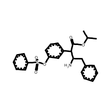 CC(C)OC(=O)C(c1cccc(OS(=O)(=O)c2ccccc2)c1)C(N)Cc1ccccc1